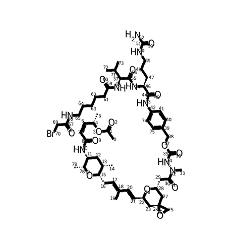 CC(=O)O[C@@H](C)/C=C\C(=O)N[C@@H]1C[C@H](C)[C@H](C/C=C(C)/C=C/[C@@H]2C[C@]3(CO3)C[C@@H](CC(=O)N(C)NC(=O)OCc3ccc(NC(=O)[C@H](CCCNC(N)=O)NC(=O)[C@@H](NC(=O)CCCCCNC(=O)CBr)C(C)C)cc3)O2)O[C@@H]1C